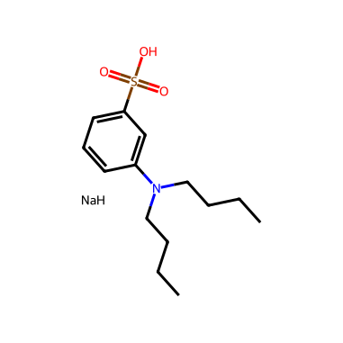 CCCCN(CCCC)c1cccc(S(=O)(=O)O)c1.[NaH]